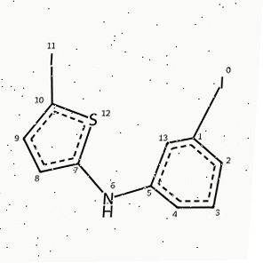 Ic1cccc(Nc2ccc(I)s2)c1